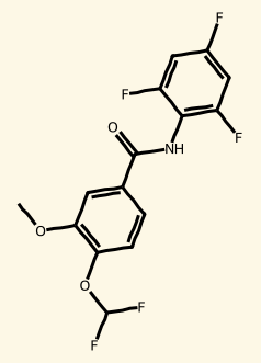 COc1cc(C(=O)Nc2c(F)cc(F)cc2F)ccc1OC(F)F